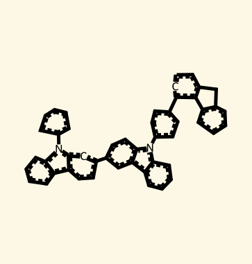 c1ccc(-n2c3ccccc3c3ccc(-c4ccc5c(c4)c4ccccc4n5-c4ccc(-c5cccc6c5-c5ccccc5C6)cc4)cc32)cc1